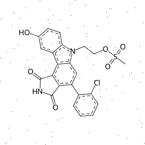 CS(=O)(=O)OCCn1c2ccc(O)cc2c2c3c(c(-c4ccccc4Cl)cc21)C(=O)NC3=O